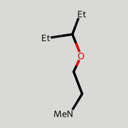 CCC(CC)OCCNC